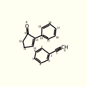 C#Cc1ccccc1.O=C1CCC=C1c1ccccc1